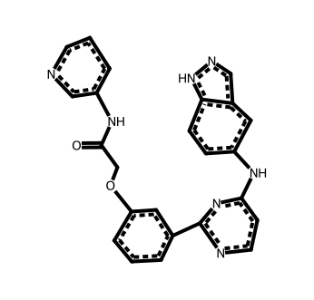 O=C(COc1cccc(-c2nccc(Nc3ccc4[nH]ncc4c3)n2)c1)Nc1cccnc1